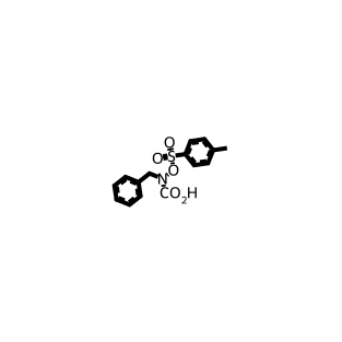 Cc1ccc(S(=O)(=O)ON(Cc2ccccc2)C(=O)O)cc1